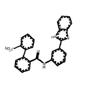 O=C(O)c1ccccc1-c1ccccc1C(=O)Nc1cccc(-c2nc3ccccc3[nH]2)c1